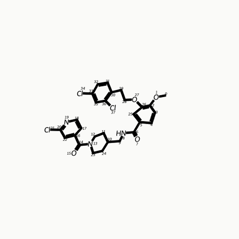 COc1ccc(C(=O)NCC2CCN(C(=O)c3ccnc(Cl)c3)CC2)cc1OCCc1ccc(Cl)cc1Cl